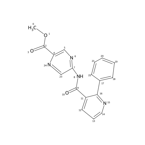 COC(=O)c1cnc(NC(=O)c2cccnc2-c2ccccc2)cn1